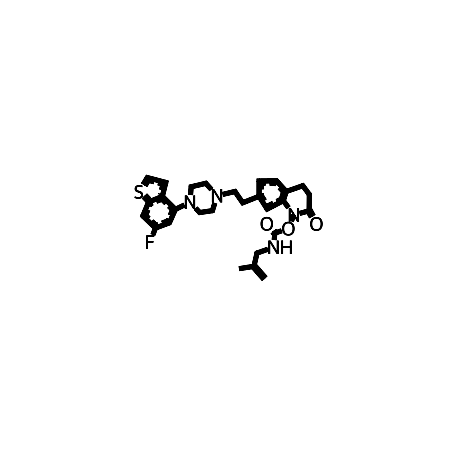 C=C(C)CNC(=O)ON1C(=O)CCc2ccc(CCN3CCN(c4cc(F)cc5sccc45)CC3)cc21